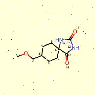 COCC1CCC2(CC1)NC(=O)NC2=O